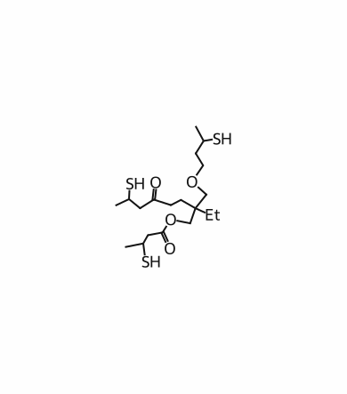 CCC(CCC(=O)CC(C)S)(COCCC(C)S)COC(=O)CC(C)S